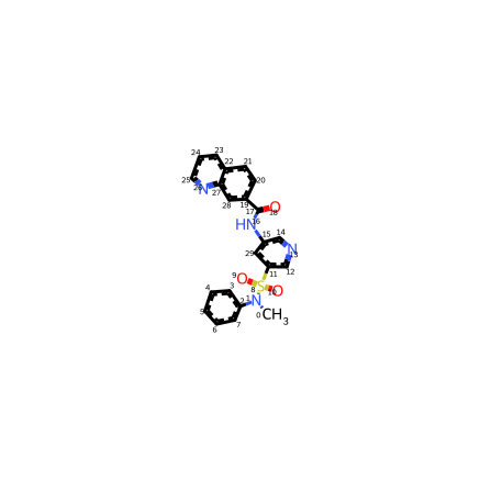 CN(c1ccccc1)S(=O)(=O)c1cncc(NC(=O)c2ccc3cccnc3c2)c1